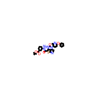 Cc1nc(Oc2ccccc2)ccc1N1C(=O)Nc2c(C(=O)N[C@@H]3CCCC(C(=O)OC(C)(C)C)C3)sc3nccc1c23